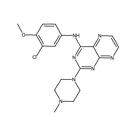 COc1ccc(Nc2nc(N3CCN(C)CC3)nc3nccnc23)cc1Cl